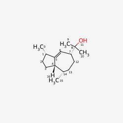 C[C@H]1CC[C@@H]2C1=C[C@H](C(C)(C)O)CC[C@@H]2C